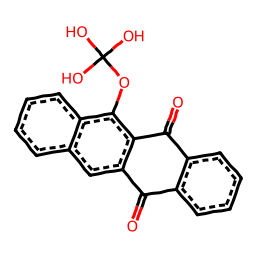 O=C1c2ccccc2C(=O)c2c1cc1ccccc1c2OC(O)(O)O